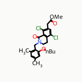 CCCCOc1cc(C)cc(C)c1CN1CCc2c(Cl)cc(CC(=O)OC)c(Cl)c2C1=O